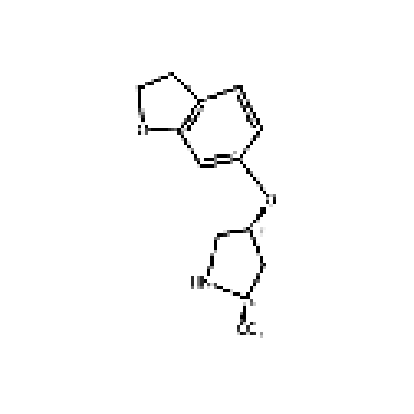 O=C(O)[C@@H]1C[C@H](Oc2ccc3c(c2)OCC3)CN1